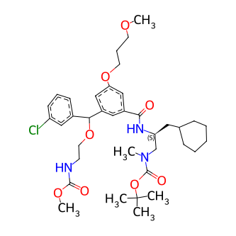 COCCCOc1cc(C(=O)N[C@@H](CC2CCCCC2)CN(C)C(=O)OC(C)(C)C)cc(C(OCCNC(=O)OC)c2cccc(Cl)c2)c1